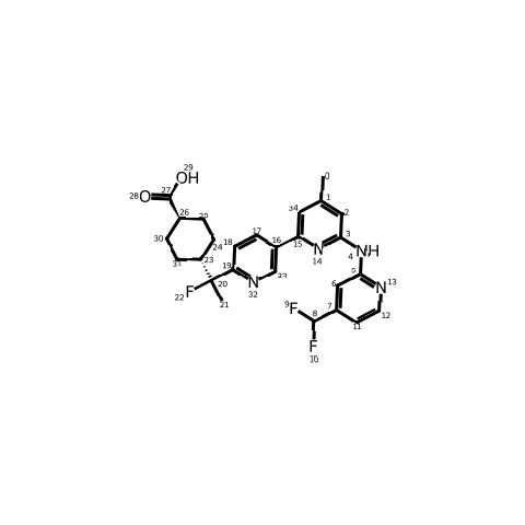 Cc1cc(Nc2cc(C(F)F)ccn2)nc(-c2ccc(C(C)(F)[C@H]3CC[C@H](C(=O)O)CC3)nc2)c1